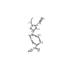 COc1cn(-c2ccc(C(=O)O)cc2)cc1C#N